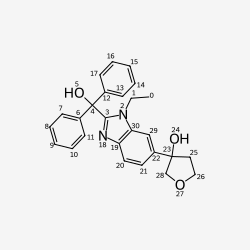 CCn1c(C(O)(c2ccccc2)c2ccccc2)nc2ccc(C3(O)CCOC3)cc21